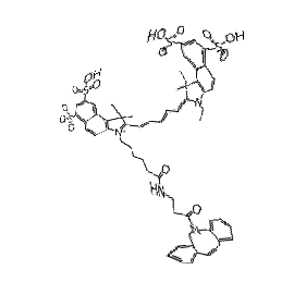 CCN1/C(=C/C=C/C=C/C2=[N+](CCCCCC(=O)NCCC(=O)N3Cc4ccccc4C#Cc4ccccc43)c3ccc4c(S(=O)(=O)[O-])cc(S(=O)(=O)O)cc4c3C2(C)C)C(C)(C)c2c1ccc1c(S(=O)(=O)O)cc(S(=O)(=O)O)cc21